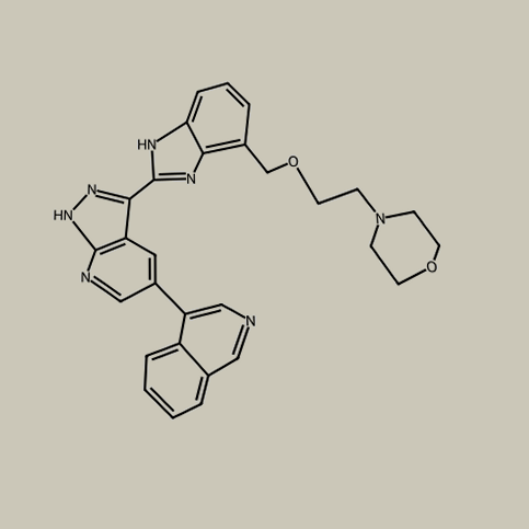 c1ccc2c(-c3cnc4[nH]nc(-c5nc6c(COCCN7CCOCC7)cccc6[nH]5)c4c3)cncc2c1